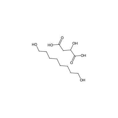 O=C(O)CC(O)C(=O)O.OCCCCCCCCO